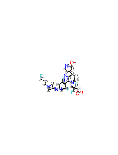 COc1cc2c3c([nH]c2cn1)C(c1c(F)cc(NC2CN(CCCF)C2)cc1F)N(CC(F)(F)CO)[C@@H](C)C3